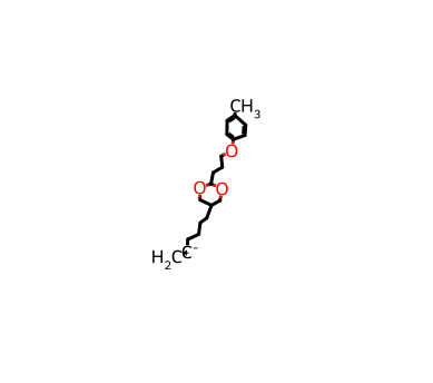 [CH2+][CH-]CCCCC1COC(CCCOc2ccc(C)cc2)OC1